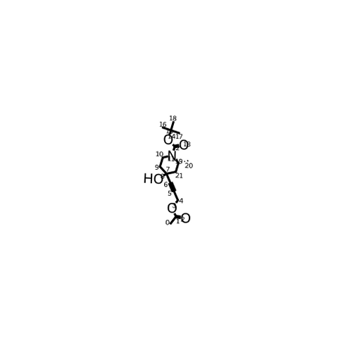 CC(=O)OCC#CC1(O)CCN(C(=O)OC(C)(C)C)[C@H](C)C1